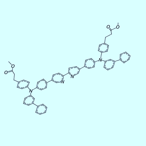 COC(=O)CCc1ccc(N(c2ccc(-c3ccc(-c4ccc(-c5ccc(N(c6ccc(CCC(=O)OC)cc6)c6cccc(-c7ccccc7)c6)cc5)cn4)nc3)cc2)c2cccc(-c3ccccc3)c2)cc1